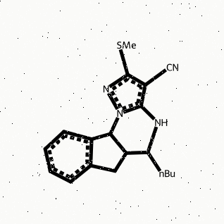 CCCCC1Nc2c(C#N)c(SC)nn2C2c3ccccc3CC12